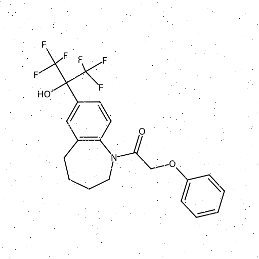 O=C(COc1ccccc1)N1CCCCc2cc(C(O)(C(F)(F)F)C(F)(F)F)ccc21